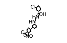 COC(=O)c1ccc(-c2cccc(NCCNC[C@H](O)c3cccc(Cl)c3)c2)cc1C(=O)OC